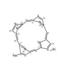 [2H]C1=CC2=CC3=NC(=CC4=NC(=CC5=NC(=CC1=N2)C=C5)C=C4)C=C3.[In]